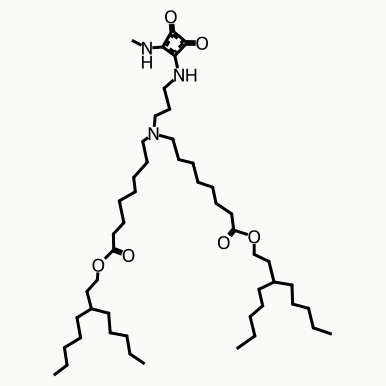 CCCCCC(CCCCC)CCOC(=O)CCCCCCCN(CCCCCCCC(=O)OCCC(CCCCC)CCCCC)CCCNc1c(NC)c(=O)c1=O